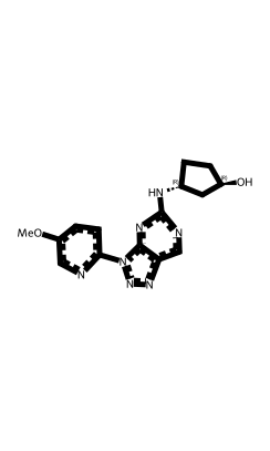 COc1ccc(-n2nnc3cnc(N[C@@H]4CC[C@@H](O)C4)nc32)nc1